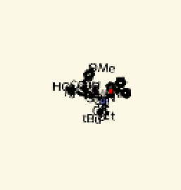 CCS[C@@H](O/N=C(\C(=O)N[C@@H]1C(=O)N2C(C(=O)OCc3ccc(OC)cc3)=C(CSc3snc(O)c3C(=O)O)CS[C@@H]12)c1csc(NC(c2ccccc2)(c2ccccc2)c2ccccc2)n1)C(=O)OC(C)(C)C